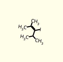 CC(C)=C(I)C(C)C